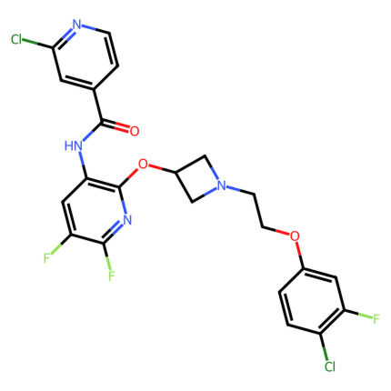 O=C(Nc1cc(F)c(F)nc1OC1CN(CCOc2ccc(Cl)c(F)c2)C1)c1ccnc(Cl)c1